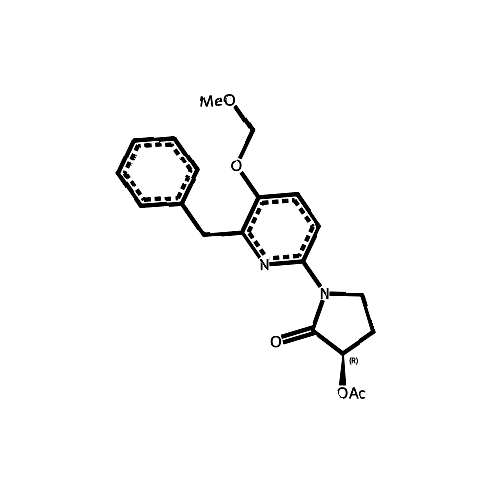 COCOc1ccc(N2CC[C@@H](OC(C)=O)C2=O)nc1Cc1ccccc1